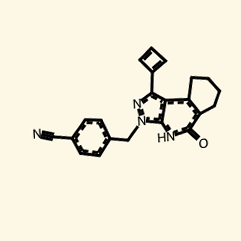 N#Cc1ccc(Cn2nc(C3=CC=C3)c3c4c(c(=O)[nH]c32)CCCC4)cc1